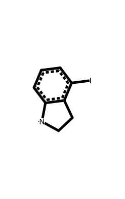 Ic1cccc2c1CC[N]2